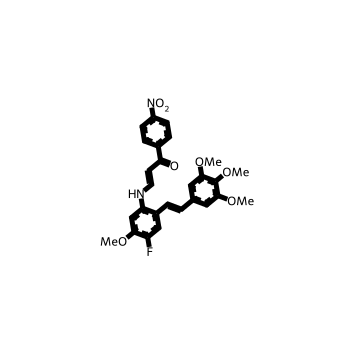 COc1cc(NC=CC(=O)c2ccc([N+](=O)[O-])cc2)c(C=Cc2cc(OC)c(OC)c(OC)c2)cc1F